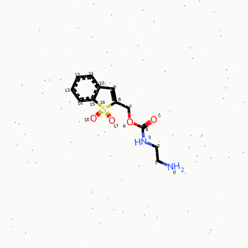 NCCNC(=O)OCC1=Cc2ccccc2S1(=O)=O